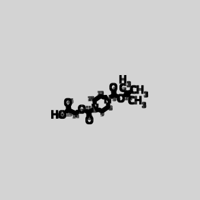 CC(C)(C)OC(=O)N1CCN(C(=O)OCC(=O)O)CC1